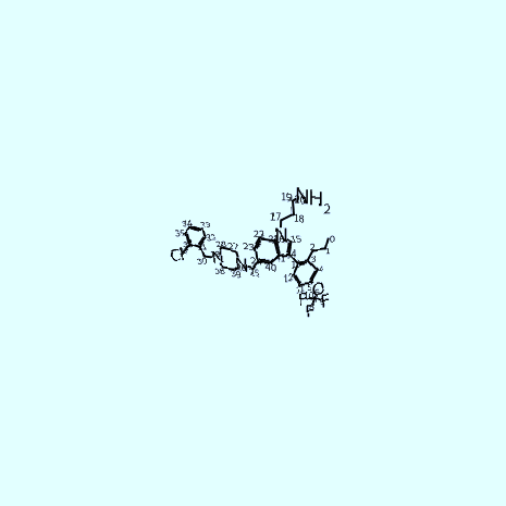 CCCc1cc(OC(F)(F)F)ccc1-c1cn(CCCN)c2ccc(CN3CCN(Cc4ccccc4Cl)CC3)cc12